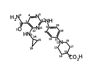 NC(=O)c1cnc(Nc2ccc(N3CCC(C(=O)O)CC3)cc2)nc1NC1CC1